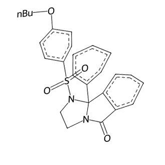 CCCCOc1ccc(S(=O)(=O)N2CCN3C(=O)c4ccccc4C32c2ccccc2)cc1